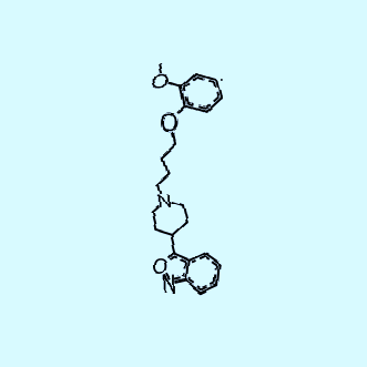 COc1c[c]ccc1OCCCCN1CCC(c2onc3ccccc23)CC1